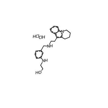 Cl.Cl.OCCNc1cccc(CNCCc2c3n(c4ccccc24)CCCC3)c1